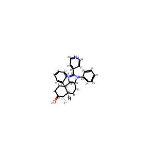 C[C@@H]1C(=O)CC[C@]2(c3ccccc3)c3nc(-c4ccncc4)n(-c4ccccc4)c3CC[C@@H]12